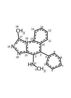 CNc1c(-c2ccccc2)c2ccccc2n2c(C)nnc12